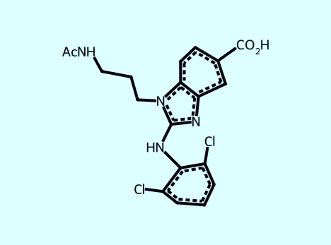 CC(=O)NCCCn1c(Nc2c(Cl)cccc2Cl)nc2cc(C(=O)O)ccc21